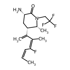 C=C(/C(C)=C(F)\C=C/C)[C@@H]1C[C@H](N)C(=O)N(CC(F)(F)F)[C@@H]1C